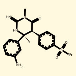 CC(C)S(=O)(=O)c1ccc([C@@H]2C(=O)N(C)C(=N)N[C@]2(C)c2cccc(N)c2)cc1